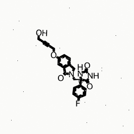 O=C1NC(=O)[C@](CN2Cc3ccc(OCC#CCO)cc3C2=O)(c2ccc(F)cc2)N1